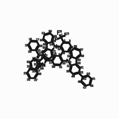 FC(F)(F)c1cccc(-c2cc(-c3nc(-c4ccccc4)nc(-c4ccccc4)n3)ccc2-n2c3ccccc3c3cc(-c4ccccc4)ccc32)c1-n1c2ccccc2c2cc(-c3ccccc3)ccc21